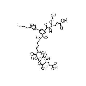 O=C(O)CC[C@H](NC(=O)c1cc(C(=O)NCCCCC(NC(=O)N[C@@H](CCC(=O)O)C(=O)O)C(=O)O)cc(-n2cc(CCCF)nn2)c1)OCO